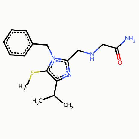 CSc1c(C(C)C)nc(CNCC(N)=O)n1Cc1ccccc1